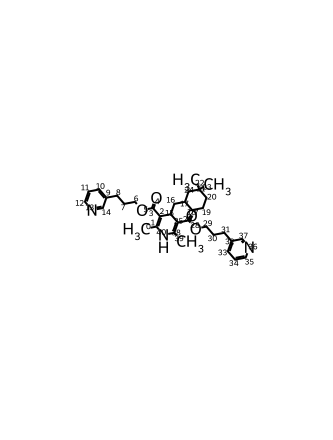 CC1=C(C(=O)OCCCc2cccnc2)C(CC2CCCC(C)(C)C2)C(C(=O)OCCCc2cccnc2)=C(C)N1